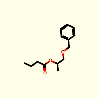 CCCC(=O)OC(C)COCc1ccccc1